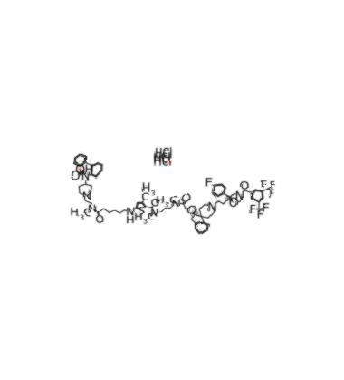 Cc1cc(NCCCCCC(=O)N(C)CCN2CCC(N(C(=O)O)c3ccccc3-c3ccccc3)CC2)sc1C(=O)N(C)CCCN(C)C(=O)CO[C@H]1Cc2ccccc2C12CCN(CC[C@@]1(c3ccc(F)cc3)CN(C(=O)c3cc(C(F)(F)F)cc(C(F)(F)F)c3)CO1)CC2.Cl.Cl.Cl